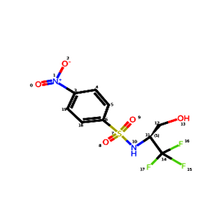 O=[N+]([O-])c1ccc(S(=O)(=O)N[C@@H](CO)C(F)(F)F)cc1